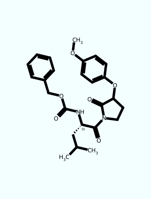 COc1ccc(OC2CCN(C(=O)[C@H](CC(C)C)NC(=O)OCc3ccccc3)C2=O)cc1